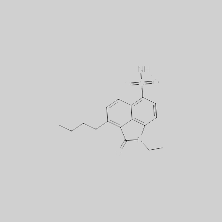 CCCCc1ccc2c(S(N)(=O)=O)ccc3c2c1C(=O)N3CC